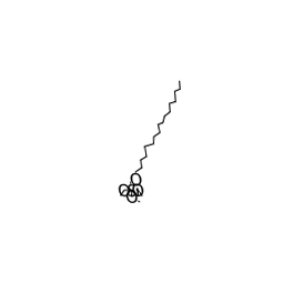 CCCCCCCCCCCCCCCCCOC[Si](OC)(OC)OC